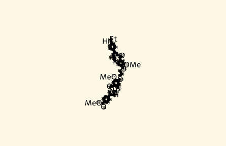 CCNc1ccc(C2=CN3C(=O)c4cc(OC)c(OCCCOc5cc6c(cc5OC)C(=O)N5C=C(c7ccc(C(=O)OC)cc7)C[C@H]5C=N6)cc4N=C[C@@H]3C2)cc1